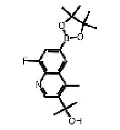 Cc1c(C(C)(C)O)cnc2c(F)cc(B3OC(C)(C)C(C)(C)O3)cc12